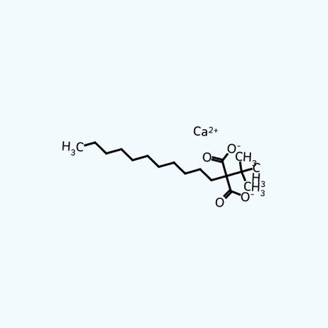 CCCCCCCCCCCC(C(=O)[O-])(C(=O)[O-])C(C)(C)C.[Ca+2]